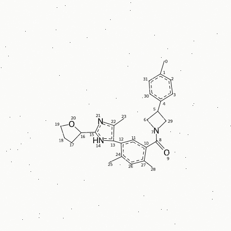 Cc1ccc(C2CN(C(=O)c3cc(-c4[nH]c(C5CCCO5)nc4C)c(C)cc3C)C2)cc1